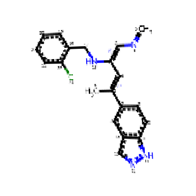 C=N/C=C(\C=C(/C)c1ccc2[nH]ncc2c1)NCc1ccccc1Cl